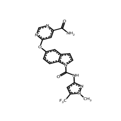 Cn1nc(NC(=O)n2ccc3cc(Oc4cc(C(N)=O)ncn4)ccc32)cc1C(F)(F)F